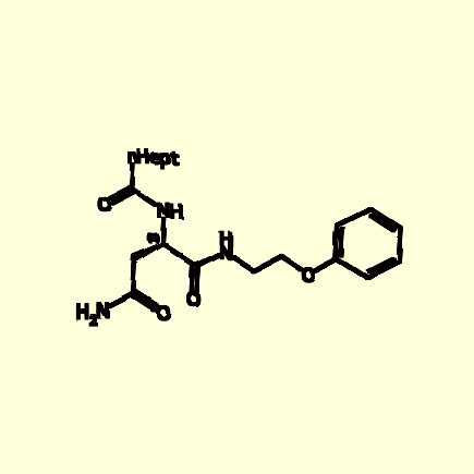 CCCCCCCC(=O)N[C@H](CC(N)=O)C(=O)NCCOc1ccccc1